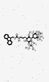 CC(C)(C)OC(=O)N[C@@H](CCCNC(=O)OCC1c2ccccc2-c2ccccc21)C(=O)NC1CC(C)(C)N(O)C(C)(C)C1